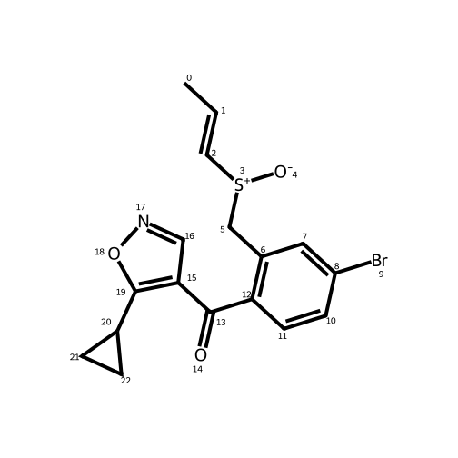 CC=C[S+]([O-])Cc1cc(Br)ccc1C(=O)c1cnoc1C1CC1